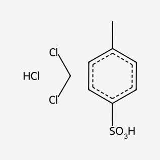 Cc1ccc(S(=O)(=O)O)cc1.Cl.ClCCl